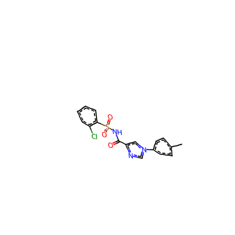 Cc1ccc(-n2cnc(C(=O)NS(=O)(=O)c3ccccc3Cl)c2)cc1